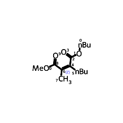 CCCCOC(=O)/C(CCCC)=C(/C)C(=O)OC